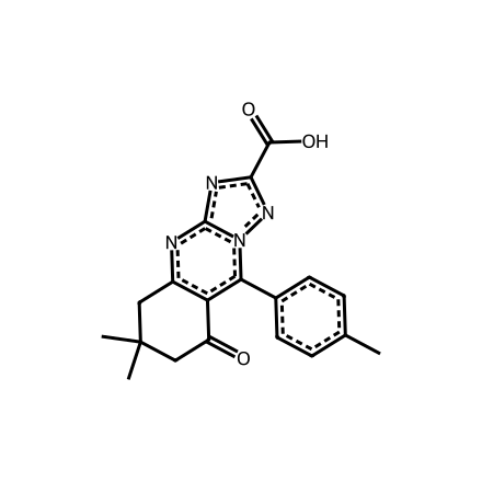 Cc1ccc(-c2c3c(nc4nc(C(=O)O)nn24)CC(C)(C)CC3=O)cc1